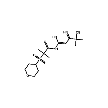 CC(C)(C#N)C(=N)/C=C(\O)NC(=O)C(C)(C)S(=O)(=O)C1CCOCC1